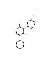 CCc1c(-c2ccc(O)cc2)cnc(N)c1-c1cncc(C#N)c1